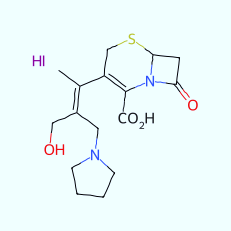 CC(=C(CO)CN1CCCC1)C1=C(C(=O)O)N2C(=O)CC2SC1.I